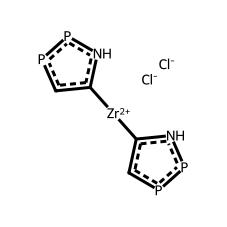 [Cl-].[Cl-].c1pp[nH][c]1[Zr+2][c]1cpp[nH]1